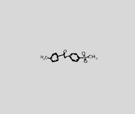 Cc1ccc(C(=O)Cc2ccc(S(C)(=O)=O)cc2)cc1